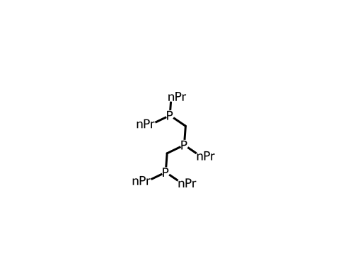 CCCP(CCC)CP(CCC)CP(CCC)CCC